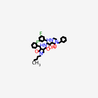 CCCCCN1CC(C(=O)N[C@@H](Cc2cc(F)cc(F)c2)[C@H](O)[C@@H]2NCCN(Cc3ccccc3)C2=O)C(Cc2ccccc2)C1=O